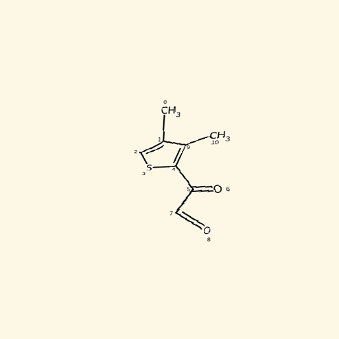 Cc1csc(C(=O)C=O)c1C